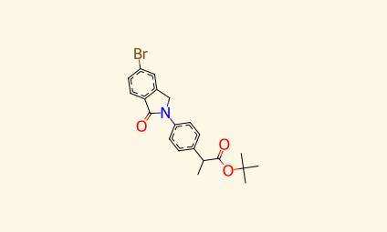 CC(C(=O)OC(C)(C)C)c1ccc(N2Cc3cc(Br)ccc3C2=O)cc1